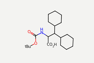 CC(C)(C)OC(=O)NC(C(=O)O)C(C1CCCCC1)C1CCCCC1